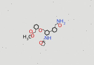 COC(=O)Cc1ccccc1OCc1cc(NC[C@@H]2CCCO2)cc(-c2cccc(CC(N)=O)c2)c1